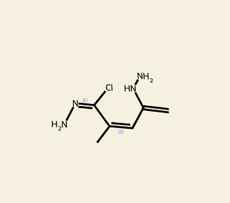 C=C(/C=C(C)\C(Cl)=N/N)NN